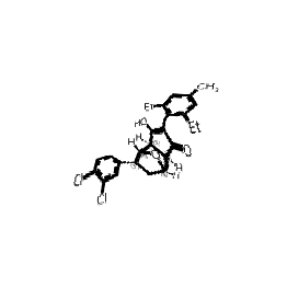 CCc1cc(C)cc(CC)c1C1=C(O)[C@@H]2[C@@H]3O[C@@H](C[C@H]3c3ccc(Cl)c(Cl)c3)[C@@H]2C1=O